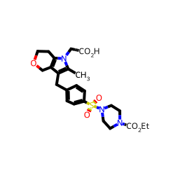 CCOC(=O)N1CCN(S(=O)(=O)c2ccc(Cc3c4c(n(CC(=O)O)c3C)CCOC4)cc2)CC1